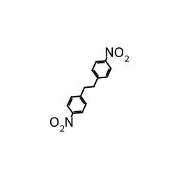 O=[N+]([O-])c1ccc(CCc2ccc([N+](=O)[O-])cc2)cc1